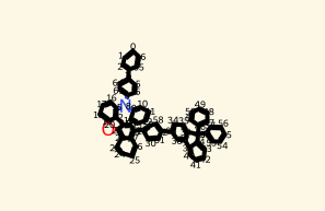 c1ccc(-c2ccc(N(c3ccccc3)c3cccc4oc5c6ccccc6c(-c6ccc(-c7ccc8c(c7)-c7ccccc7C8(c7ccccc7)c7ccccc7)cc6)cc5c34)cc2)cc1